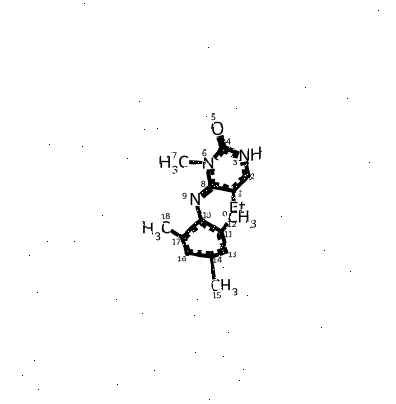 CCc1c[nH]c(=O)n(C)c1=Nc1c(C)cc(C)cc1C